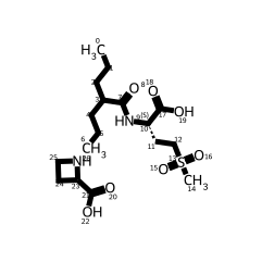 CCCC(CCC)C(=O)N[C@@H](CCS(C)(=O)=O)C(=O)O.O=C(O)C1CCN1